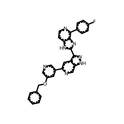 Fc1ccc(-c2nccc3[nH]c(-c4n[nH]c5cnc(-c6cncc(OCc7ccccc7)c6)cc45)nc23)cc1